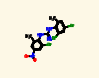 Cc1cc(Br)cc(Br)c1NC(=N)Nc1c(C)cc([N+](=O)[O-])cc1Br